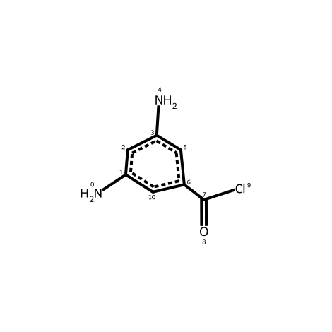 Nc1cc(N)cc(C(=O)Cl)c1